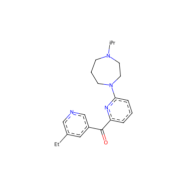 CCc1cncc(C(=O)c2cccc(N3CCCN(C(C)C)CC3)n2)c1